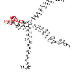 CCCCCCCCCCCCCCCCCCc1cc(CC(CC(=O)O)C(=O)O)cc(CCCCCCCCCCCCCCCCCC)c1CCCCCCCCCCCCCCCCCC